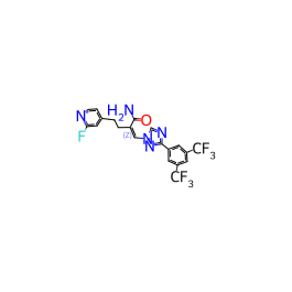 NC(=O)/C(=C\n1cnc(-c2cc(C(F)(F)F)cc(C(F)(F)F)c2)n1)CCc1ccnc(F)c1